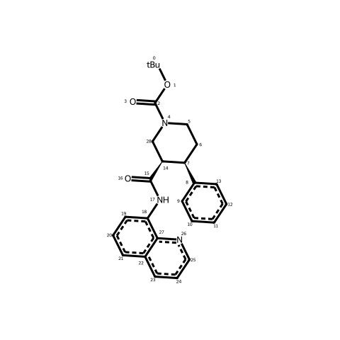 CC(C)(C)OC(=O)N1CC[C@@H](c2ccccc2)[C@@H](C(=O)Nc2cccc3cccnc23)C1